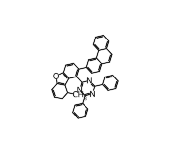 CC1CC=Cc2oc3ccc(-c4ccc5ccc6ccccc6c5c4)c(-c4nc(-c5ccccc5)nc(-c5ccccc5)n4)c3c21